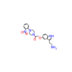 NCCc1c[nH]c2ccc(OCC(=O)N3CCN(c4ccccc4[N+](=O)[O-])CC3)cc12